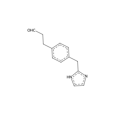 O=CCCc1ccc(Cc2ncc[nH]2)cc1